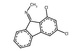 CN=C1c2ccccc2-c2cc(Cl)cc(Cl)c21